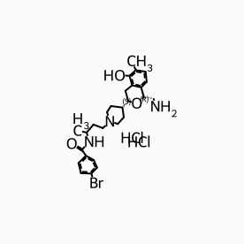 Cc1ccc2c(c1O)C[C@@H](C1CCN(CCC(C)NC(=O)c3ccc(Br)cc3)CC1)O[C@H]2CN.Cl.Cl